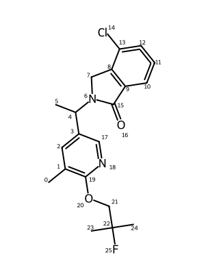 Cc1cc(C(C)N2CC3=C(C=C=C=C3Cl)C2=O)cnc1OCC(C)(C)F